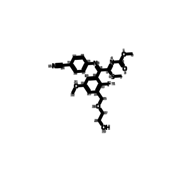 COC(=O)/N=C(SC)/C(=N/c1ccc(C#N)cc1)c1cc(OC)cc(COCCO)c1F